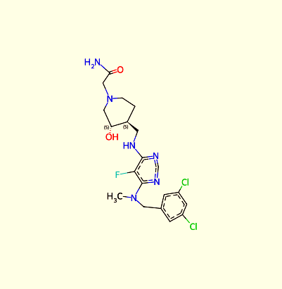 CN(Cc1cc(Cl)cc(Cl)c1)c1ncnc(NC[C@@H]2CCN(CC(N)=O)C[C@H]2O)c1F